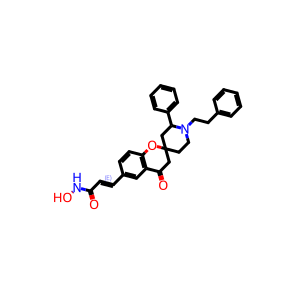 O=C(/C=C/c1ccc2c(c1)C(=O)CC1(CCN(CCc3ccccc3)C(c3ccccc3)C1)O2)NO